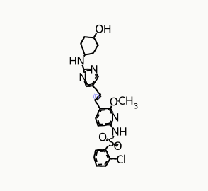 COc1nc(NS(=O)(=O)c2ccccc2Cl)ccc1/C=C/c1cnc(NC2CCC(O)CC2)nc1